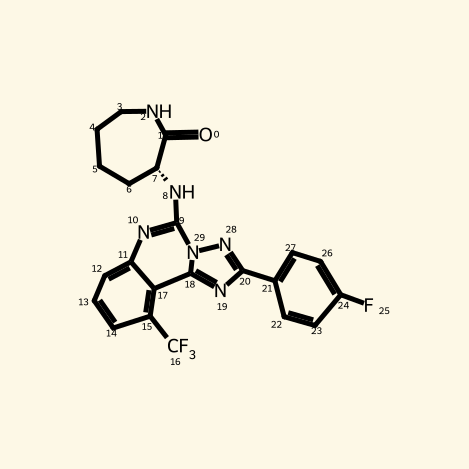 O=C1NCCCC[C@H]1Nc1nc2cccc(C(F)(F)F)c2c2nc(-c3ccc(F)cc3)nn12